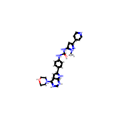 Cn1nc(-c2ccncc2)cc1NC(=O)Nc1ccc(-c2cc3c(N4CCOCC4)ncnc3[nH]2)cc1